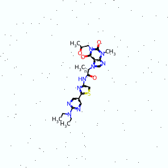 CCN(CC)c1ncc(-c2nc(NC(=O)[C@H](C)n3cnc4c3c(=O)n(CC(C)=O)c(=O)n4C)cs2)cn1